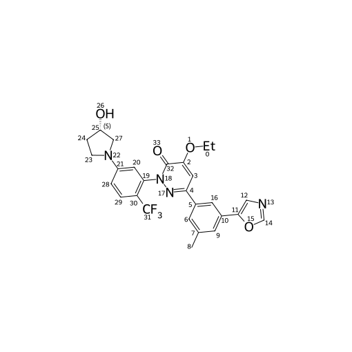 CCOc1cc(-c2cc(C)cc(-c3cnco3)c2)nn(-c2cc(N3CC[C@H](O)C3)ccc2C(F)(F)F)c1=O